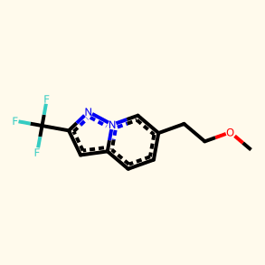 COCCc1ccc2cc(C(F)(F)F)nn2c1